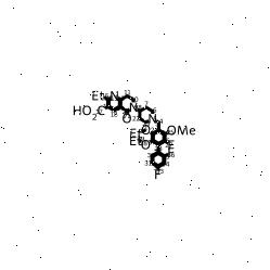 CCOc1c(CN2CCC(N3CCc4nc(CC)c(C(=O)O)cc4C3=O)CC2)c(OC)c(F)c(-c2ccc(F)cc2F)c1OCC